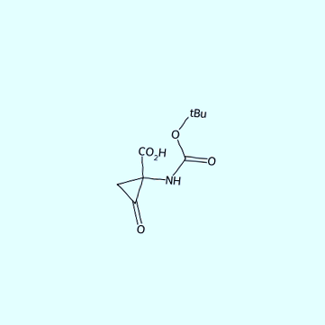 CC(C)(C)OC(=O)NC1(C(=O)O)CC1=O